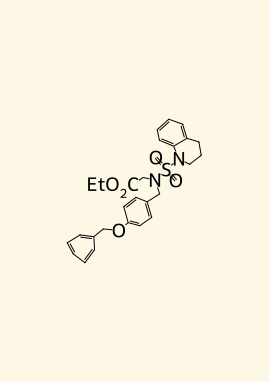 CCOC(=O)CN(Cc1ccc(OCc2ccccc2)cc1)S(=O)(=O)N1CCCc2ccccc21